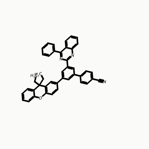 CCC1(CC)c2ccccc2Oc2ccc(-c3cc(-c4ccc(C#N)cc4)cc(-c4nc(-c5ccccc5)c5ccccc5n4)c3)cc21